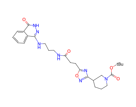 CC(C)(C)OC(=O)N1CCCC(c2noc(CCC(=O)NCCCNc3n[nH]c(=O)c4ccccc34)n2)C1